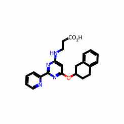 O=C(O)CCNc1cc(OC2CCc3ccccc3C2)nc(-c2ccccn2)n1